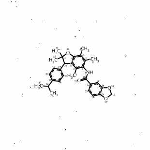 Cc1c(C)c2c(c(C)c1NC(=O)c1ccc3c(c1)OCO3)C(c1ccc(C(C)C)cc1)C(C)(C)O2